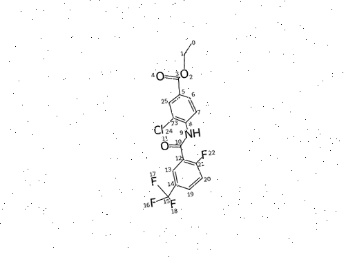 CCOC(=O)c1ccc(NC(=O)c2cc(C(F)(F)F)ccc2F)c(Cl)c1